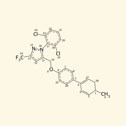 CC1C=CC(c2ccc(OCc3cc(C(F)(F)F)nn3-c3c(Cl)cccc3Cl)cc2)=CC1